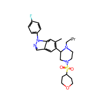 Cc1cc2c(cnn2-c2ccc(F)cc2)cc1C1CN(S(=O)(=O)C2CCOCC2)CCN1CC(C)C